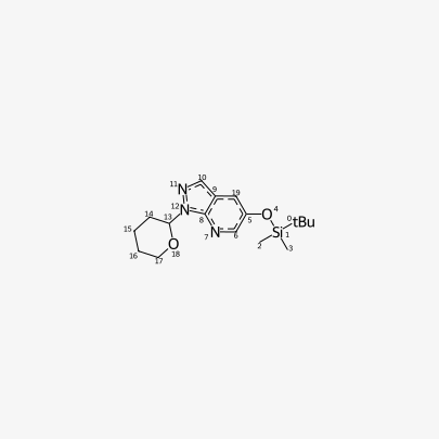 CC(C)(C)[Si](C)(C)Oc1cnc2c(cnn2C2CCCCO2)c1